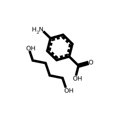 Nc1ccc(C(=O)O)cc1.OCCCCO